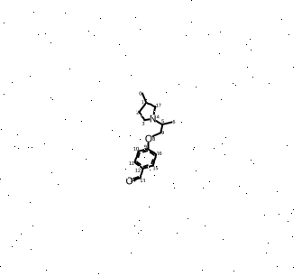 CC1CCN(C(C)COc2ccc(C=O)cc2)C1